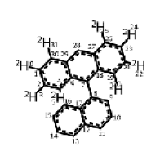 [2H]c1c([2H])c([2H])c2c(-c3cccc4ccccc34)c3c([2H])c([2H])c([2H])c([2H])c3cc2c1[2H]